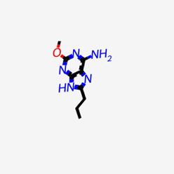 CCCc1nc2c(N)nc(OC)nc2[nH]1